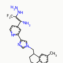 Cc1ccc2c(c1)C(Cn1cnc(-c3cc(/C(N)=C(/NN)C(F)(F)F)ccn3)c1)CCC2